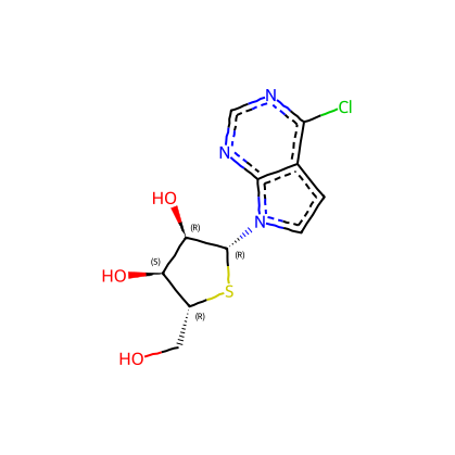 OC[C@H]1S[C@@H](n2ccc3c(Cl)ncnc32)[C@H](O)[C@@H]1O